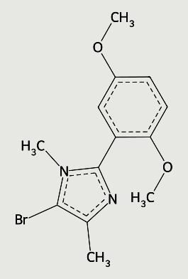 COc1ccc(OC)c(-c2nc(C)c(Br)n2C)c1